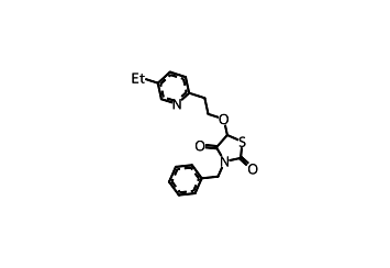 CCc1ccc(CCOC2SC(=O)N(Cc3ccccc3)C2=O)nc1